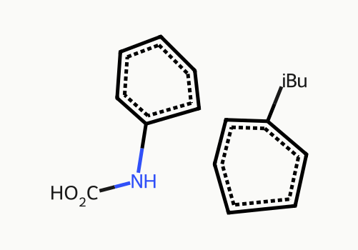 CCC(C)c1ccccc1.O=C(O)Nc1ccccc1